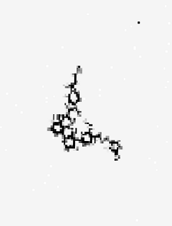 CNCCC(=O)N1CCc2c(nc(C(=O)Nc3cccc(-c4nccc(-c5ccc(CNC[C@H]6CCC(=O)N6)c(OC)n5)c4Cl)c3Cl)n2C)C1